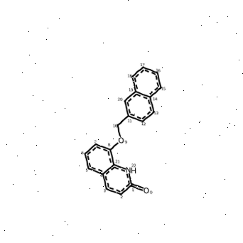 O=c1ccc2cccc(OCc3ccc4ccccc4c3)c2[nH]1